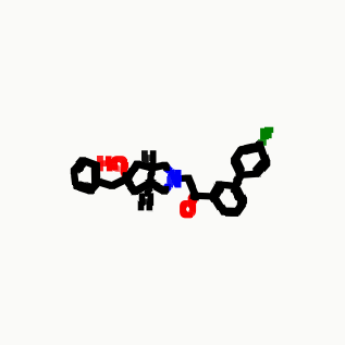 O=C(CN1C[C@@H]2CC(O)(Cc3ccccc3)C[C@@H]2C1)c1cccc(-c2ccc(F)cc2)c1